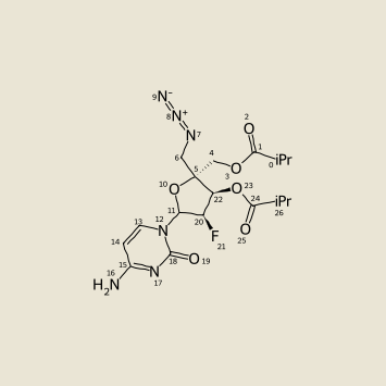 CC(C)C(=O)OC[C@@]1(CN=[N+]=[N-])OC(n2ccc(N)nc2=O)[C@H](F)[C@@H]1OC(=O)C(C)C